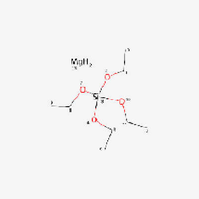 CCO[Si](OCC)(OCC)OCC.[MgH2]